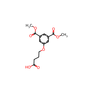 COC(=O)c1cc(OCCCC(=O)O)cc(C(=O)OC)c1